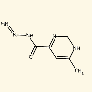 CC1=CC(C(=O)NN=N)=NCN1